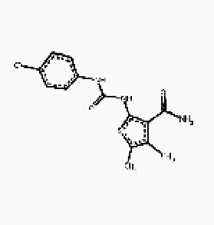 Cc1sc(NC(=O)Nc2ccc(Cl)cc2)c(C(N)=O)c1C